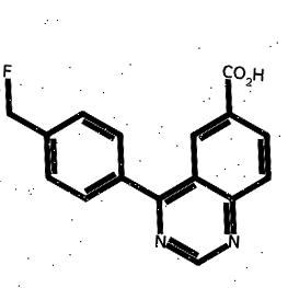 O=C(O)c1ccc2ncnc(-c3ccc(CF)cc3)c2c1